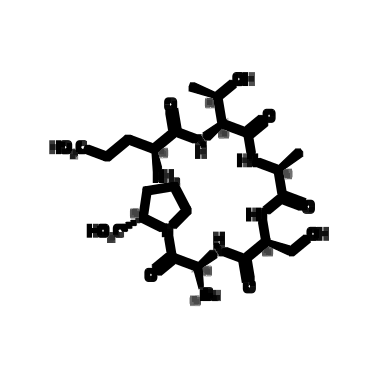 CC[C@H](C)[C@H](NC(=O)[C@H](CO)NC(=O)[C@H](C)NC(=O)[C@@H](NC(=O)[C@@H](N)CCC(=O)O)[C@@H](C)O)C(=O)N1CCC[C@H]1C(=O)O